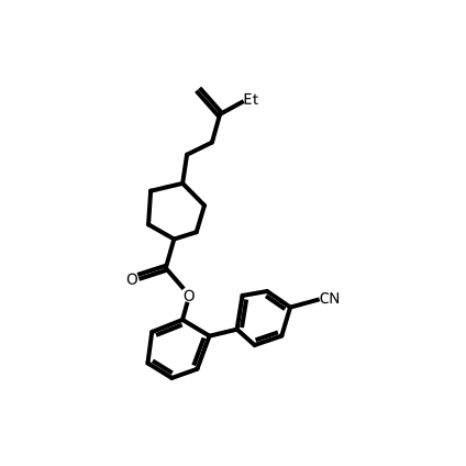 C=C(CC)CCC1CCC(C(=O)Oc2ccccc2-c2ccc(C#N)cc2)CC1